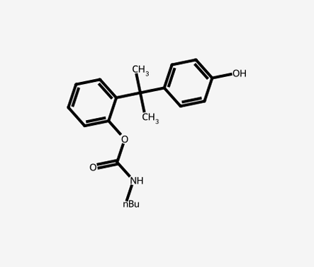 CCCCNC(=O)Oc1ccccc1C(C)(C)c1ccc(O)cc1